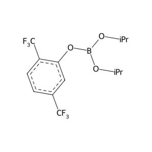 CC(C)OB(Oc1cc(C(F)(F)F)ccc1C(F)(F)F)OC(C)C